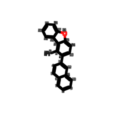 CC(C)c1c(-c2ccc3ccccc3c2)ccc2oc3ccccc3c12